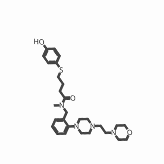 CN(Cc1ccccc1N1CCN(CCN2CCOCC2)CC1)C(=O)CCCSc1ccc(O)cc1